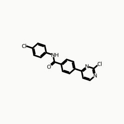 O=C(Nc1ccc(Cl)cc1)c1ccc(-c2ccnc(Cl)n2)cc1